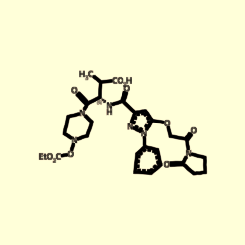 CCOC(=O)ON1CCN(C(=O)[C@@H](NC(=O)c2cc(OCC(=O)N3CCCC3=O)n(-c3ccccc3)n2)C(C)C(=O)O)CC1